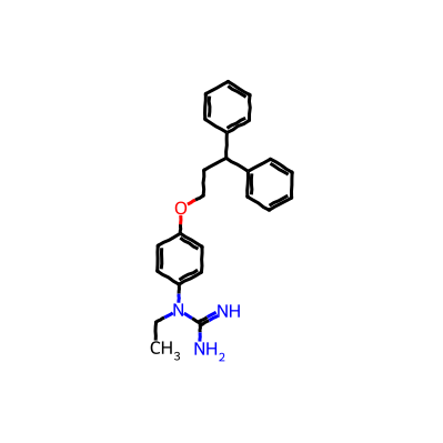 CCN(C(=N)N)c1ccc(OCCC(c2ccccc2)c2ccccc2)cc1